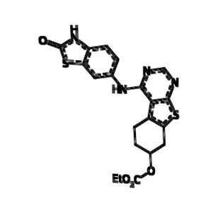 CCOC(=O)OC1CCc2c(sc3ncnc(Nc4ccc5[nH]c(=O)sc5c4)c23)C1